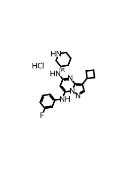 Cl.Fc1cccc(Nc2cc(N[C@H]3CCCNC3)nc3c(C4CCC4)cnn23)c1